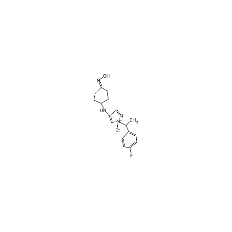 CC[N+]1(C(C)c2ccc(F)cc2)C=C(NC2CCC(=NO)CC2)C=N1